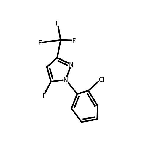 FC(F)(F)c1cc(I)n(-c2ccccc2Cl)n1